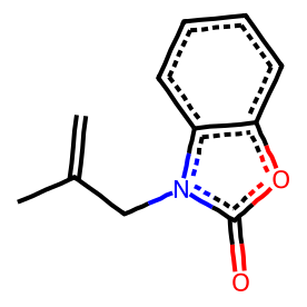 C=C(C)Cn1c(=O)oc2ccccc21